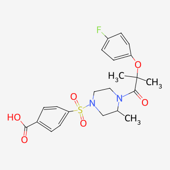 CC1CN(S(=O)(=O)c2ccc(C(=O)O)cc2)CCN1C(=O)C(C)(C)Oc1ccc(F)cc1